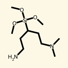 CO[Si](OC)(OC)C(CCN)CCN(C)C